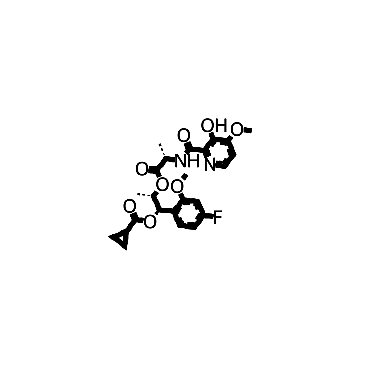 COc1cc(F)ccc1[C@@H](OC(=O)C1CC1)[C@H](C)OC(=O)[C@H](C)NC(=O)c1nccc(OC)c1O